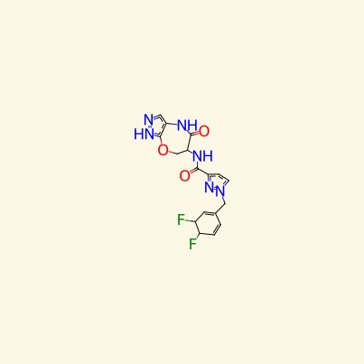 O=C(NC1COc2[nH]ncc2NC1=O)c1ccn(CC2=CC(F)C(F)C=C2)n1